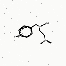 CN(C)CCN(Cc1ccc(F)cc1)C(C)(C)C